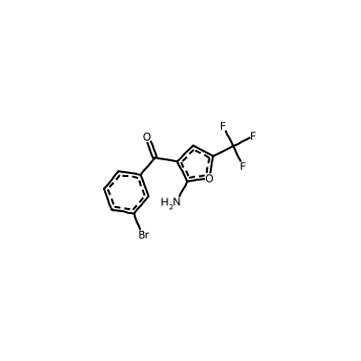 Nc1oc(C(F)(F)F)cc1C(=O)c1cccc(Br)c1